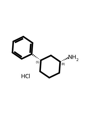 Cl.N[C@@H]1CCC[C@H](c2ccccc2)C1